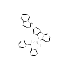 c1ccc(-c2nc(-n3c4ccccc4c4cc5oc6c7ccccc7ccc6c5cc43)nc3ccccc23)cc1